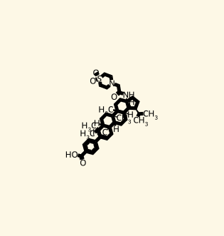 CC(C)[C@@H]1CC[C@]2(NC(=O)CN3CCS(=O)(=O)CC3)CC[C@]3(C)[C@H](CC[C@@H]4[C@@]5(C)CC=C(c6ccc(C(=O)O)cc6)C(C)(C)[C@@H]5CC[C@]43C)[C@@H]12